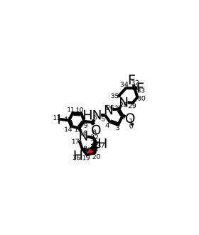 COc1ccc(NC(=O)c2ccc(I)cc2N2C[C@H]3CC[C@@H](C2)C32CC2)nc1N1CCC(F)(F)CC1